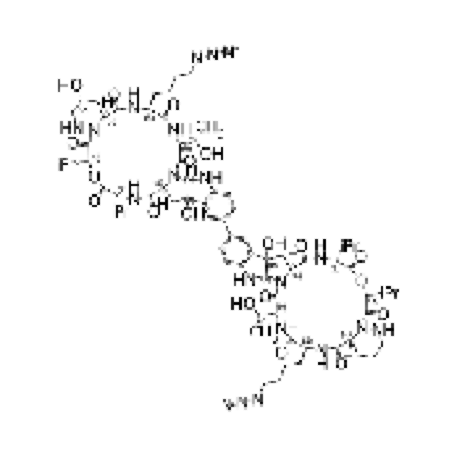 CC(C)[C@@H]1OC(=O)[C@@H](C(C)C)NC(=O)[C@@H]2C[C@@]3(O)c4cc(-c5ccc6c(c5)[C@]5(O)C[C@H]7C(=O)N[C@H](C(C)C)C(=O)O[C@@H](C(C)C)C(=O)N8NC[C@H](O)C[C@@H]8C(=O)N[C@@H](CCCCN=[N+]=[N-])C(=O)N[C@H]([C@H](C)O)C(=O)N7[C@@H]5N6)ccc4N[C@H]3N2C(=O)[C@@H]([C@H](C)O)NC(=O)[C@H](CCCCN=[N+]=[N-])NC(=O)[C@H]2CCCNN2C1=O